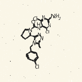 Cc1nnc([C@H]2CCCN2C(=O)Nc2c(Cl)nc(N)nc2Cl)n1Cc1ccc(Cl)cc1